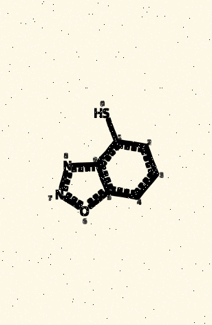 Sc1cccc2onnc12